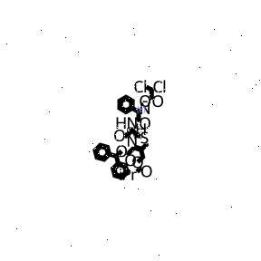 CC(C)C(=O)OCC1=C(C(=O)OC(c2ccccc2)c2ccccc2)N2C(=O)[C@@H](NC(=O)/C(=N/OC(=O)C(Cl)Cl)c3ccccc3)[C@H]2SC1